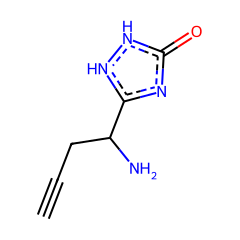 C#CCC(N)c1nc(=O)[nH][nH]1